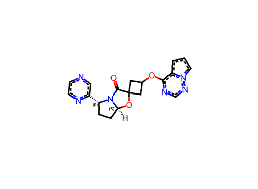 O=C1N2[C@H](CC[C@@H]2c2cnccn2)OC12CC(Oc1ncnn3cccc13)C2